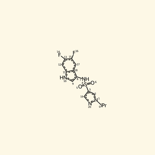 CC(C)n1cc(S(=O)(=O)Nc2c[nH]c3cc(F)c(F)cc23)cn1